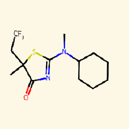 CN(C1=NC(=O)C(C)(CC(F)(F)F)S1)C1CCCCC1